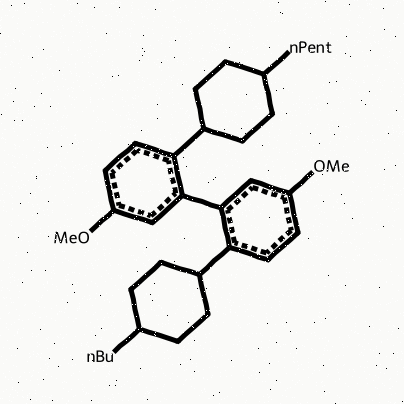 CCCCCC1CCC(c2ccc(OC)cc2-c2cc(OC)ccc2C2CCC(CCCC)CC2)CC1